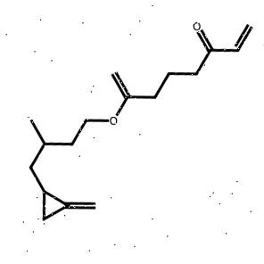 C=CC(=O)CCCC(=C)OCCC(C)CC1CC1=C